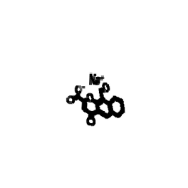 O=Cc1c2c(cc3c(=O)cc(C(=O)[O-])oc13)CCCC2.[Na+]